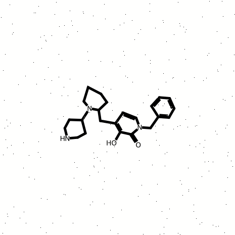 O=c1c(O)c(CC2CCCCN2C2CCNCC2)ccn1Cc1ccccc1